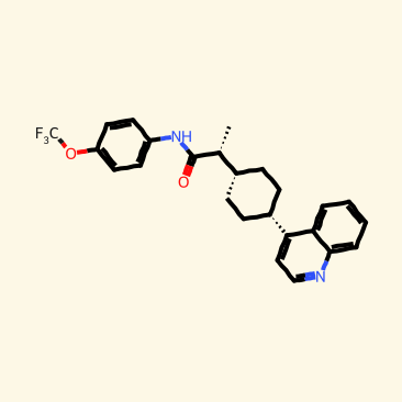 C[C@@H](C(=O)Nc1ccc(OC(F)(F)F)cc1)[C@H]1CC[C@@H](c2ccnc3ccccc32)CC1